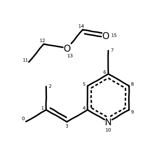 CC(C)=Cc1cc(C)ccn1.CCOC=O